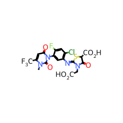 Cn1c(C(F)(F)F)cc(=O)n(-c2cc(/N=C3\SC(C(=O)O)C(=O)N3CC(=O)O)c(Cl)cc2F)c1=O